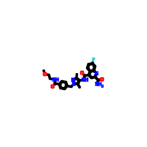 COCCNC(=O)c1ccc(Cn2nc(C)c(NC(=O)c3cc(C(N)=O)nc4cc(F)ccc34)c2C)cc1